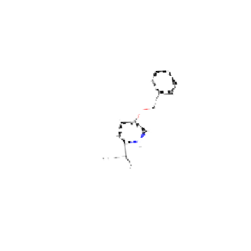 CC(C=O)c1ccc(OCc2ccccc2)cn1